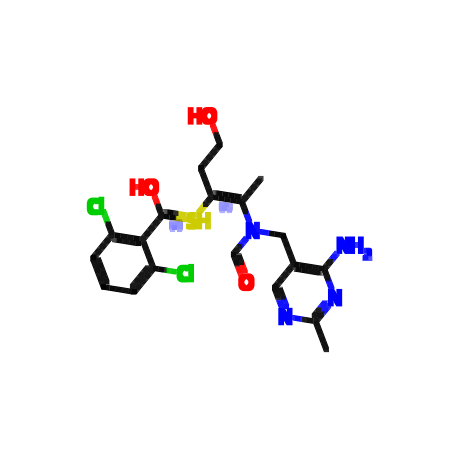 C/C(=C(CCO)/[SH]=C(\O)c1c(Cl)cccc1Cl)N(C=O)Cc1cnc(C)nc1N